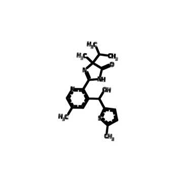 Cc1cnc(C2=NC(C)(C(C)C)C(=O)N2)c(C(O)c2ccc(C)s2)c1